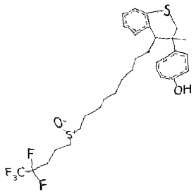 CC1(c2ccc(O)cc2)CSc2ccccc2C1CCCCCCCCC[S+]([O-])CCCC(F)(F)C(F)(F)F